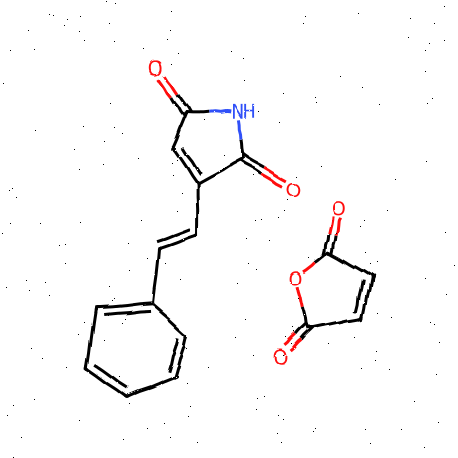 O=C1C=C(C=Cc2ccccc2)C(=O)N1.O=C1C=CC(=O)O1